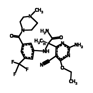 CCOc1nc(N)nc([C@@](C)(Nc2cc(C(=O)N3CCN(C)CC3)cc(C(F)(F)F)c2)C(N)=O)c1C#N